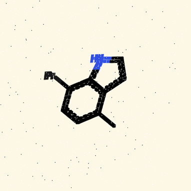 Cc1ccc(C(C)C)c2[nH]ccc12